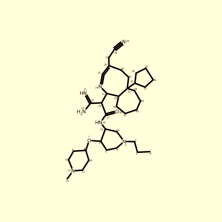 CCCN1CCC(OC2CCN(C)CC2)C(NC(=O)C(C(=N)N)C2N=C=C(CC#N)CCC3(C4CCCC4)CCCCCC23)C1